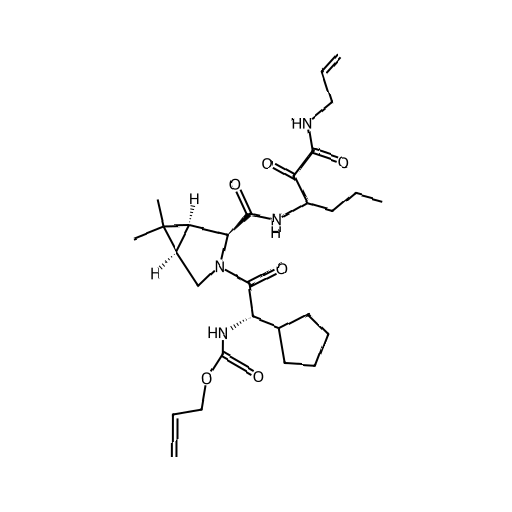 C=CCNC(=O)C(=O)C(CCC)NC(=O)[C@@H]1[C@H]2[C@@H](CN1C(=O)[C@@H](NC(=O)OCC=C)C1CCCC1)C2(C)C